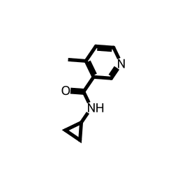 Cc1ccncc1C(=O)NC1CC1